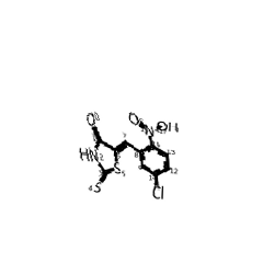 O=C1NC(=S)S/C1=C\c1cc(Cl)ccc1[N+](=O)O